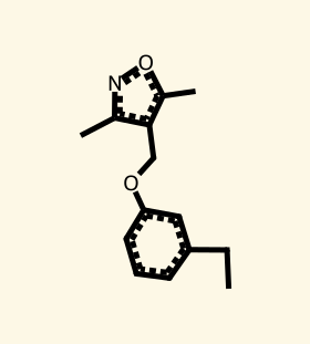 CCc1cccc(OCc2c(C)noc2C)c1